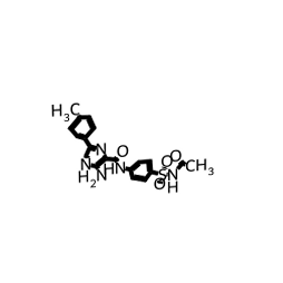 CC(=O)NS(=O)(=O)c1ccc(NC(=O)c2nc(-c3ccc(C)cc3)cnc2N)cc1